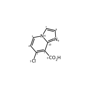 O=C(O)c1c(Cl)ccn2ccnc12